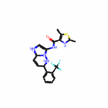 CC1=C(C(=O)NC2=CNC3C=CC(c4ccccc4C(F)(F)F)NN23)NC(C)S1